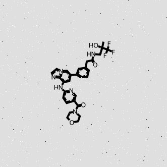 CC(O)(CNC(=O)Cc1cccc(-c2cc(Nc3ccc(C(=O)N4CCOCC4)cn3)c3nccn3c2)c1)C(F)(F)F